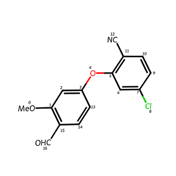 COc1cc(Oc2cc(Cl)ccc2C#N)ccc1C=O